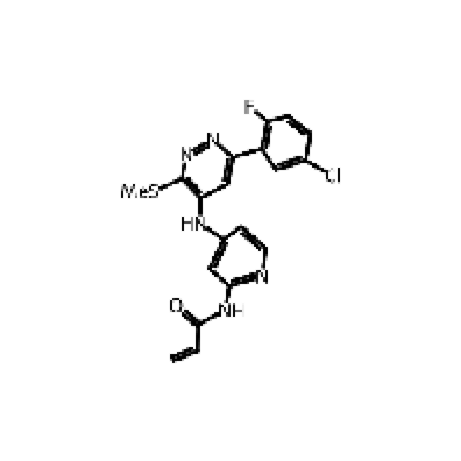 C=CC(=O)Nc1cc(Nc2cc(-c3cc(Cl)ccc3F)nnc2SC)ccn1